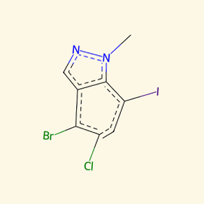 Cn1ncc2c(Br)c(Cl)cc(I)c21